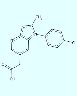 Cc1cc2ncc(CC(=O)O)cc2n1-c1ccc(Cl)cc1